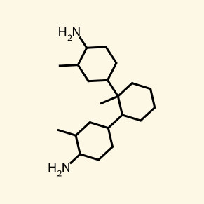 CC1CC(C2CCCCC2(C)C2CCC(N)C(C)C2)CCC1N